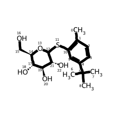 Cc1ccc(C(C)(C)C)cc1SC1O[C@H](CO)[C@@H](O)[C@H](O)[C@H]1O